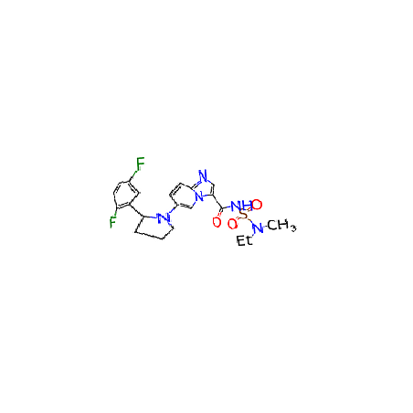 CCN(C)S(=O)(=O)NC(=O)c1cnc2ccc(N3CCCC3c3cc(F)ccc3F)cn12